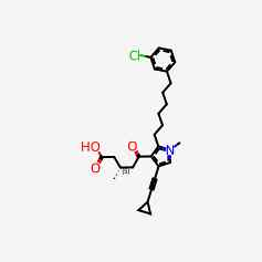 C[C@H](CC(=O)O)CC(=O)c1c(C#CC2CC2)cn(C)c1CCCCCCc1cccc(Cl)c1